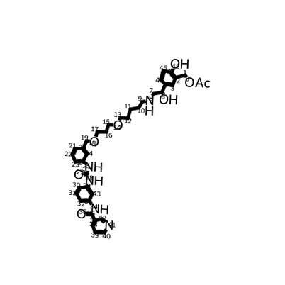 CC(=O)OCc1cc([C@@H](O)CNCCCCCOCCCOCc2cccc(NC(=O)Nc3cccc(NC(=O)c4cccnc4)c3)c2)ccc1O